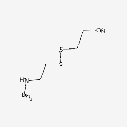 BNCCSSCCO